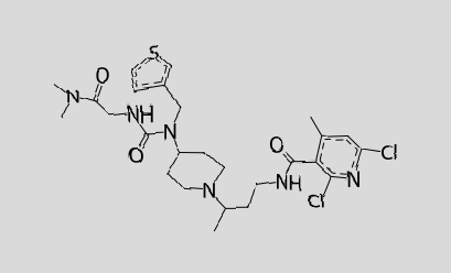 Cc1cc(Cl)nc(Cl)c1C(=O)NCCC(C)N1CCC(N(Cc2ccsc2)C(=O)NCC(=O)N(C)C)CC1